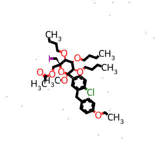 CCCCO[C@@H]1[C@@H](OCCCC)[C@](OC)(c2ccc(Cl)c(Cc3ccc(OCC)cc3)c2)O[C@](CI)(COC(C)=O)[C@H]1OCCCC